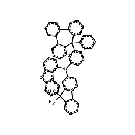 CC1(C)c2ccccc2-c2ccc(N(c3cccc(C4(c5ccccc5)c5ccccc5-c5ccccc5-c5ccccc54)c3)c3cccc4oc5ccccc5c34)cc21